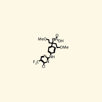 COCCC(CCOC)(O[PH](=O)O)c1ccc(Nc2ncc(C(F)(F)F)c(Cl)n2)cc1